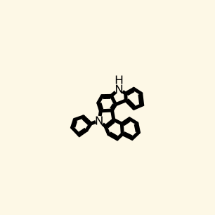 c1ccc(-n2c3ccc4ccccc4c3c3c4c(ccc32)[nH]c2ccccc24)cc1